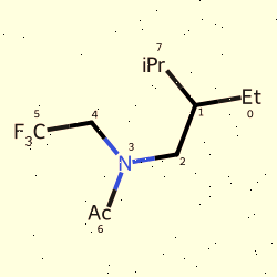 CCC(CN(CC(F)(F)F)C(C)=O)C(C)C